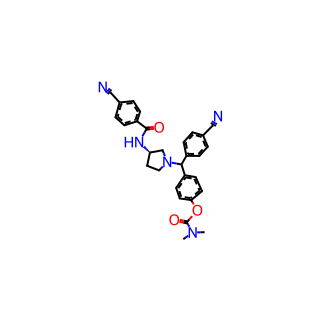 CN(C)C(=O)Oc1ccc(C(c2ccc(C#N)cc2)N2CC[C@@H](NC(=O)c3ccc(C#N)cc3)C2)cc1